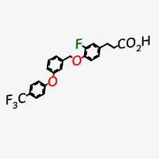 O=C(O)CCc1ccc(OCc2cccc(Oc3ccc(C(F)(F)F)cc3)c2)c(F)c1